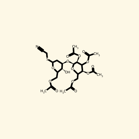 CC(=O)OCC1O[C@@H](O[C@@H]2CC(SCC#N)OC(COC(C)=O)[C@H]2O)[C@@H](OC(C)=O)C(OC(C)=O)[C@H]1OC(C)=O